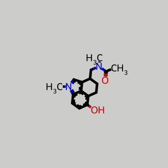 CC(=O)N(C)CC1CCc2c(O)ccc3c2c1cn3C